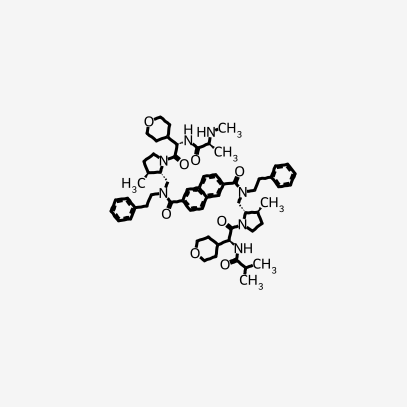 CN[C@@H](C)C(=O)N[C@H](C(=O)N1CC[C@H](C)[C@H]1CN(CCc1ccccc1)C(=O)c1ccc2cc(C(=O)N(CCc3ccccc3)C[C@@H]3[C@@H](C)CCN3C(=O)[C@@H](NC(=O)C(C)C)C3CCOCC3)ccc2c1)C1CCOCC1